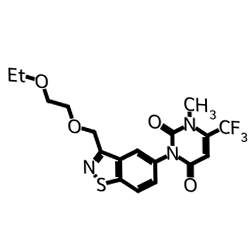 CCOCCOCc1nsc2ccc(-n3c(=O)cc(C(F)(F)F)n(C)c3=O)cc12